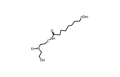 CCCCCCCCCCCCCCCCCC(=O)NCCCN(CC)CCO